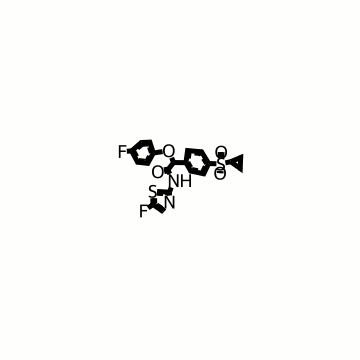 O=C(Nc1ncc(F)s1)C(Oc1ccc(F)cc1)c1ccc(S(=O)(=O)C2CC2)cc1